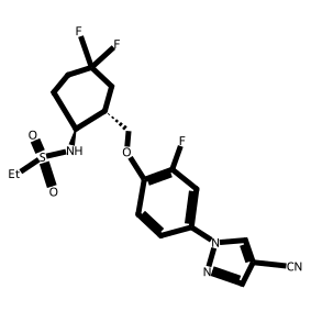 CCS(=O)(=O)N[C@H]1CCC(F)(F)C[C@@H]1COc1ccc(-n2cc(C#N)cn2)cc1F